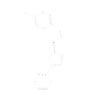 O=C(O)C(Oc1ccc(Br)cc1)C(=O)c1cnn(-c2ccccc2)c1